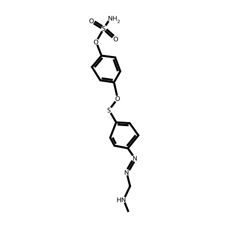 CNCN=Nc1ccc(SOc2ccc(OS(N)(=O)=O)cc2)cc1